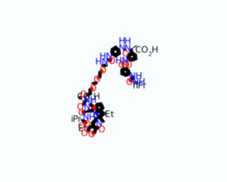 CCCNC(=O)Nc1cccc(S(=O)(=O)Nc2cccc([C@@H](CC(=O)O)NC(=O)Nc3ccc(NC(=O)NCCOCCOCCOCCC(=O)N[C@@H](CC(=O)O)C(=O)N4CCC[C@H]4C(=O)N[C@H](C(=O)O[C@]4(CC)C(=O)OCc5c4cc4n(c5=O)Cc5c-4nc4ccccc4c5CC)C(C)C)cc3)c2)c1